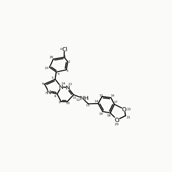 Clc1ccc(-c2cnc3ccc(NCc4ccc5c(c4)OCO5)nn23)cc1